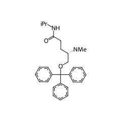 CN[C@@H](CCC(=O)NC(C)C)COC(c1ccccc1)(c1ccccc1)c1ccccc1